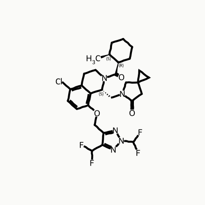 C[C@H]1CCCC[C@H]1C(=O)N1CCc2c(Cl)ccc(OCc3nn(C(F)F)nc3C(F)F)c2[C@H]1CN1CC2(CC2)CC1=O